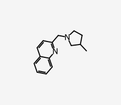 CC1CCN(Cc2ccc3ccccc3n2)C1